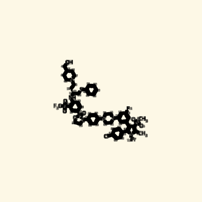 Cc1c(S(C)(=O)=O)c(-c2cc(F)cc(N3CCN(c4ccc(N5CCO[P@@]5(=O)c5ccc(N[C@H](CCN6CCC(CO)CC6)CSc6ccccc6)c(S(=O)(=O)C(F)(F)F)c5)cc4)CC3)c2)c(-c2ccc(Cl)cc2)n1C(C)C